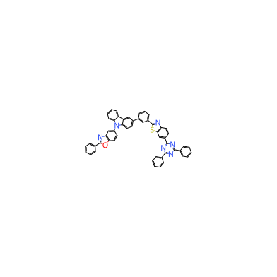 c1ccc(-c2nc(-c3ccccc3)nc(-c3ccc4nc(-c5cccc(-c6ccc7c(c6)c6ccccc6n7-c6ccc7oc(-c8ccccc8)nc7c6)c5)sc4c3)n2)cc1